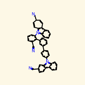 N#Cc1ccc2c3ccccc3n(-c3ccc(-c4cccc(-c5c(C#N)cccc5-n5c6c(c7ccccc75)C=CC(C#N)C=C6)c4)cc3)c2c1